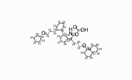 O=C(O)Oc1[nH]c2c(-c3ccccc3CCCOc3ccccc3)cccc2c1CCCOc1cccc2ccccc12